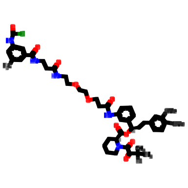 CCC(C)(C)C(=O)C(=O)N1CCCC[C@H]1C(=O)O[C@H](CCc1ccc(OC)c(OC)c1)c1cccc(NC(=O)CCOCCOCCNC(=O)CCNC(=O)c2cc(NC(=O)Cl)cc(C(F)(F)F)c2)c1